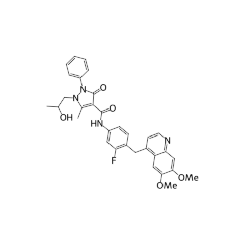 COc1cc2nccc(Cc3ccc(NC(=O)c4c(C)n(CC(C)O)n(-c5ccccc5)c4=O)cc3F)c2cc1OC